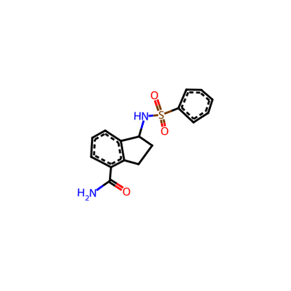 NC(=O)c1cccc2c1CCC2NS(=O)(=O)c1ccccc1